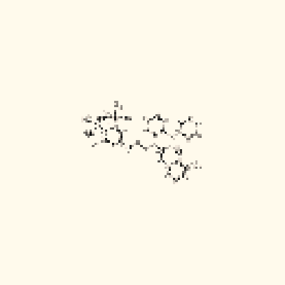 BC(B)(O)c1c(F)cc(OCCCN(Cc2cccc(C(F)(F)F)c2Cl)CC(c2ccccc2)c2ccccc2)cc1S(C)(=O)=O